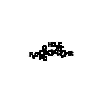 CCc1ccc(COc2ccc(-n3c(=O)cc(C(F)(F)F)n(C)c3=O)cc2)c(O[C@@H](C)C(=O)O)c1